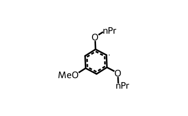 CCCOc1[c]c(OCCC)cc(OC)c1